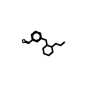 CCCC1CCCCC1Cc1cccc(C=O)c1